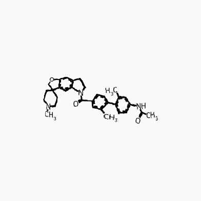 CC(=O)Nc1ccc(-c2ccc(C(=O)N3CCc4cc5c(cc43)C3(CCN(C)CC3)CO5)cc2C)c(C)c1